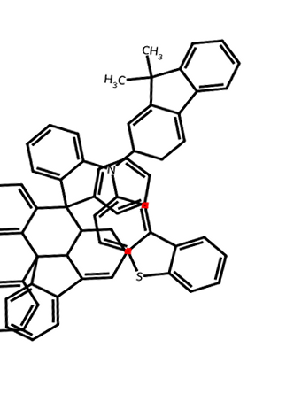 CC1(C)C2=CC(N(c3ccc4sc5ccccc5c4c3)c3ccccc3C3(c4ccccc4)c4ccccc4C4(c5ccccc5)c5ccccc5C5=CCCC3C54)CC=C2c2ccccc21